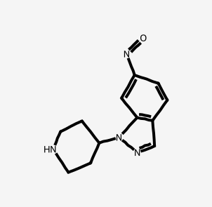 O=Nc1ccc2cnn(C3CCNCC3)c2c1